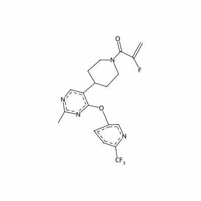 C=C(F)C(=O)N1CCC(c2cnc(C)nc2Oc2ccc(C(F)(F)F)nc2)CC1